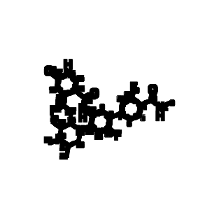 CNC(=O)c1ccc(-c2cc(NC(=O)c3c[nH]c(=O)cc3C(F)F)c(N3CC(C)N(C)C(C)C3)cc2F)cc1F